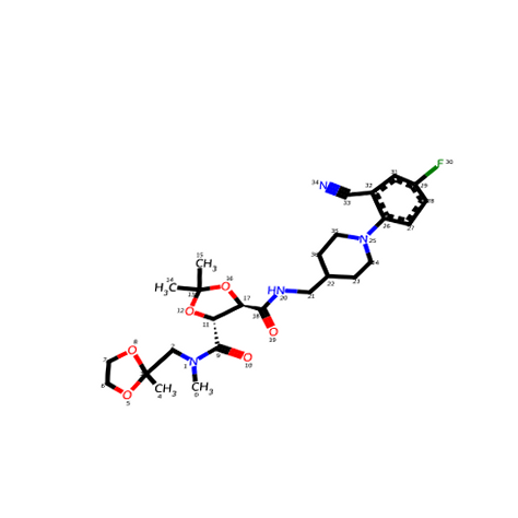 CN(CC1(C)OCCO1)C(=O)[C@@H]1OC(C)(C)O[C@H]1C(=O)NCC1CCN(c2ccc(F)cc2C#N)CC1